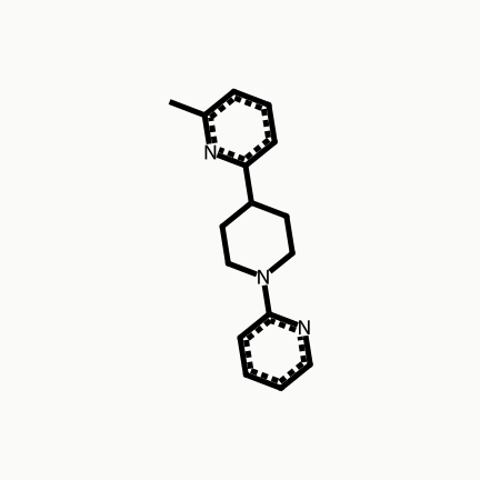 Cc1cccc(C2CCN(c3ccccn3)CC2)n1